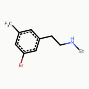 CCNCCc1cc(Br)cc(C(F)(F)F)c1